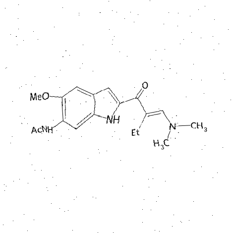 CC/C(=C\N(C)C)C(=O)c1cc2cc(OC)c(NC(C)=O)cc2[nH]1